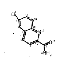 NC(=O)c1ccc2cc(Cl)ccc2n1